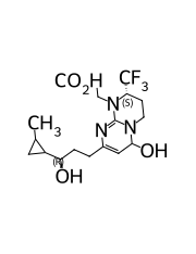 CC1CC1[C@H](O)CCC1=CC(O)N2CC[C@@H](C(F)(F)F)N(CC(=O)O)C2=N1